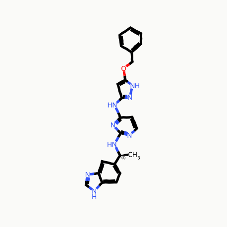 C[C@H](Nc1nccc(Nc2cc(OCc3ccccc3)[nH]n2)n1)c1ccc2[nH]cnc2c1